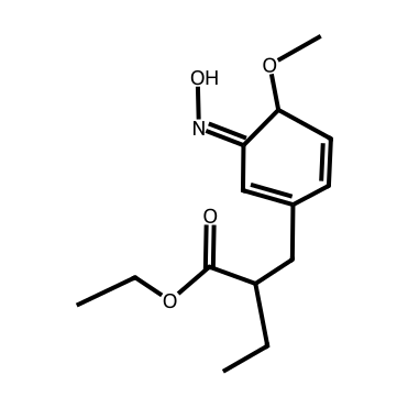 CCOC(=O)C(CC)CC1=CC(=NO)C(OC)C=C1